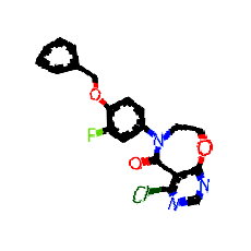 O=C1c2c(Cl)ncnc2OCCN1c1ccc(OCc2ccccc2)c(F)c1